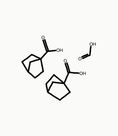 O=C(O)C12CCC(CC1)C2.O=C(O)C12CCC(CC1)C2.O=CO